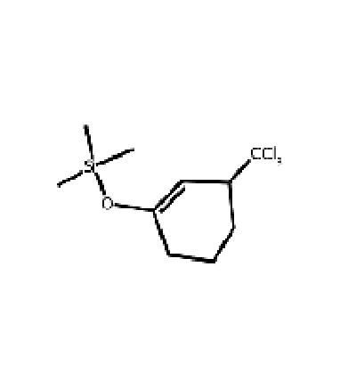 C[Si](C)(C)OC1=CC(C(Cl)(Cl)Cl)CCC1